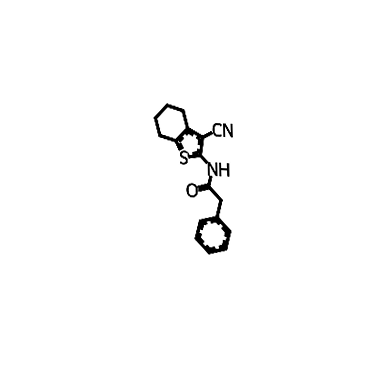 N#Cc1c(NC(=O)Cc2ccccc2)sc2c1CCCC2